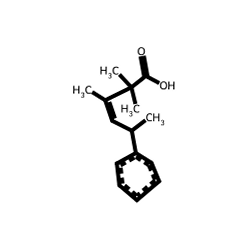 CC(=CC(C)c1ccccc1)C(C)(C)C(=O)O